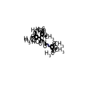 COc1cc(/C=C/C(=O)NCCC(C(=O)O)=C(c2cc(OC)c(OC)c(OC)c2)c2cc(OC)c(OC)c(OC)c2)cc(OC)c1OC